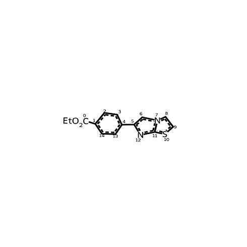 CCOC(=O)c1ccc(-c2cn3ccsc3n2)cc1